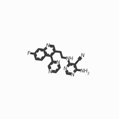 N#Cc1c(N)ncnc1NCCc1cnc2cc(F)ccc2c1-c1cnccn1